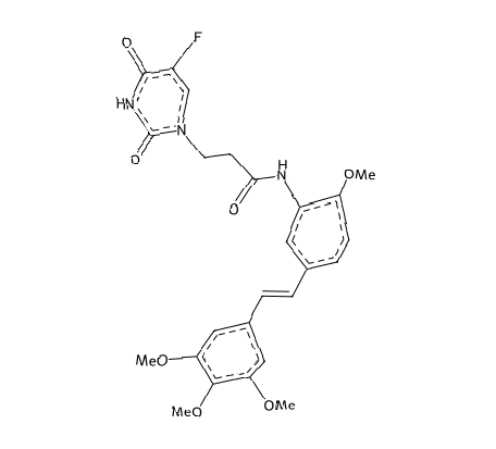 COc1ccc(/C=C/c2cc(OC)c(OC)c(OC)c2)cc1NC(=O)CCn1cc(F)c(=O)[nH]c1=O